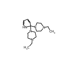 CCN1CCN(C2(N3CCN(CC)CC3)C=CC=CN2)CC1